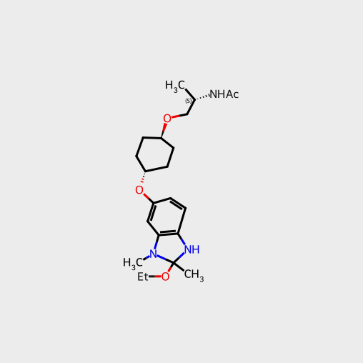 CCOC1(C)Nc2ccc(O[C@H]3CC[C@H](OC[C@H](C)NC(C)=O)CC3)cc2N1C